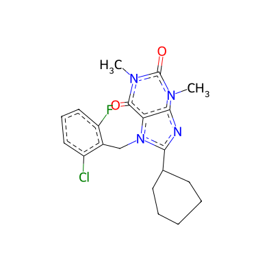 Cn1c(=O)c2c(nc(C3CCCCC3)n2Cc2c(F)cccc2Cl)n(C)c1=O